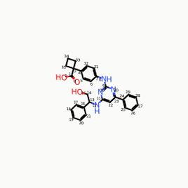 O=C(O)C1(c2ccc(Nc3nc(NC(CO)c4ccccc4)cc(-c4ccccc4)n3)cc2)CCC1